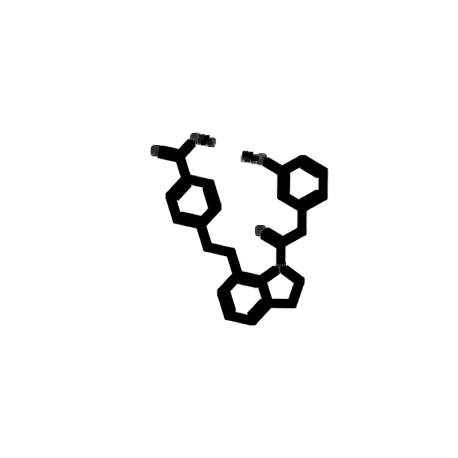 COC(=O)c1ccc(CCc2cccc3c2N(C(=O)Cc2cccc(OC)c2)CC3)cc1